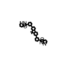 CC1(C)c2cc(-c3cccc(-c4nc5ncccc5o4)c3)ccc2-c2ccc(-c3cccc(-c4nc5ncccc5o4)c3)cc21